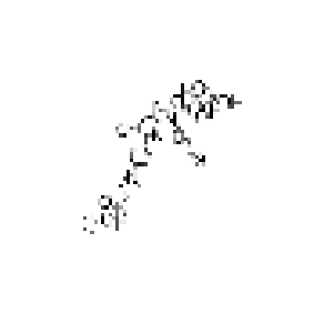 C[Si](C)(C)CCOCn1c(O[C@@H]2CO[C@H]3[C@@H]2OC[C@H]3O)nc2cc(Cl)c(-c3ccc(N4CCC(NC(=O)OC5CCCC5)CC4)cc3)nc21